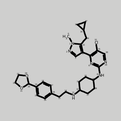 Cn1ncc(-c2nc(NC3CCC(NCCc4ccc(C5OCCO5)cc4)CC3)ncc2Cl)c1CC1CC1